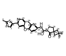 Cc1ncc(-c2cc(Oc3ccc(NC(O)N4CCC5(CC(F)(F)C5)C4=O)nc3C)ccn2)s1